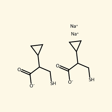 O=C([O-])C(CS)C1CC1.O=C([O-])C(CS)C1CC1.[Na+].[Na+]